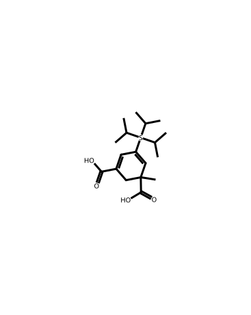 CC(C)S(C1=CC(C)(C(=O)O)CC(C(=O)O)=C1)(C(C)C)C(C)C